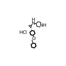 Cl.c1ccc(COc2ccc([C@@H]3C[C@H]3NC3CCNCC3)cc2)cc1